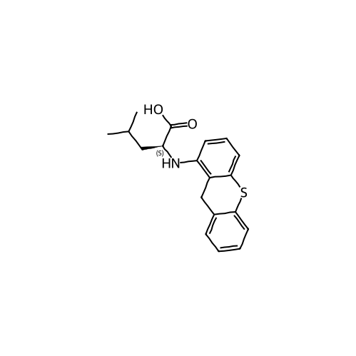 CC(C)C[C@H](Nc1cccc2c1Cc1ccccc1S2)C(=O)O